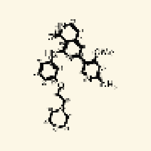 COc1nc(N)ncc1-c1cc2cc[nH]c(=O)c2c(Nc2cccc(OCCN3CCOCC3)c2)n1